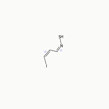 S/N=C\C=C/I